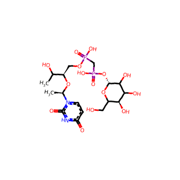 CC(O)[C@@H](COP(=O)(O)CP(=O)(O)O[C@H]1OC(CO)[C@H](O)C(O)C1O)O[C@H](C)n1ccc(=O)[nH]c1=O